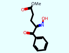 COC(=O)CCC(=NO)C(=O)c1ccccc1